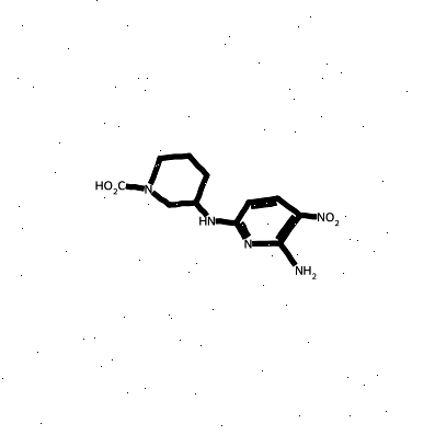 Nc1nc(NC2CCCN(C(=O)O)C2)ccc1[N+](=O)[O-]